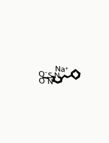 O=C([O-])c1nc2ccc(C=Cc3ccccc3)nc2s1.[Na+]